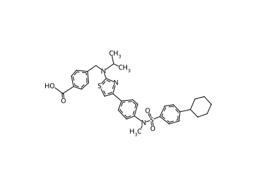 CC(C)N(Cc1ccc(C(=O)O)cc1)c1nc(-c2ccc(N(C)S(=O)(=O)c3ccc(C4CCCCC4)cc3)cc2)cs1